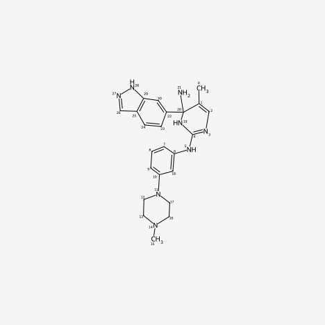 CC1=CN=C(Nc2cccc(N3CCN(C)CC3)c2)NC1(N)c1ccc2cn[nH]c2c1